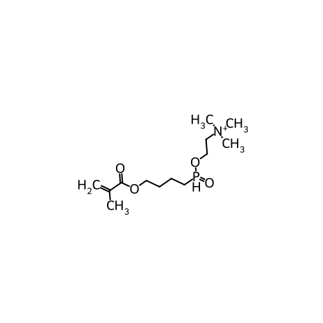 C=C(C)C(=O)OCCCC[PH](=O)OCC[N+](C)(C)C